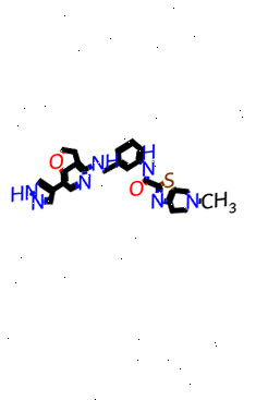 CN1CCc2nc(C(=O)Nc3cccc(CNc4ncc(-c5cn[nH]c5)c5c4CCO5)c3)sc2C1